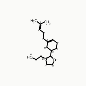 CC(C)=CCCC1=CCCC(C2OCCN2CCO)C1